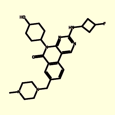 CN1CCN(Cc2ccc3c(c2)c(=O)n(C2CCC(O)CC2)c2nc(NC4CC(F)C4)ncc32)CC1